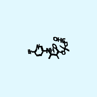 C/C(Nc1ccc(Br)nc1)=C(\C)C(=O)OC(C)(C)OC=O